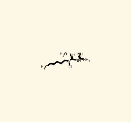 CCCCCCN(Cl)C(=N)NC(=N)N.O